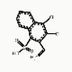 C=Cc1c(Cl)c(Cl)c2ccccc2c1S(=O)(=O)O